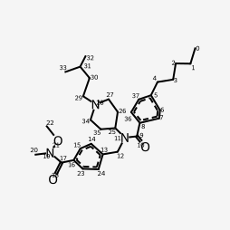 CCCCCc1ccc(C(=O)N(Cc2ccc(C(=O)N(C)OC)cc2)C2CCN(CCC(C)C)CC2)cc1